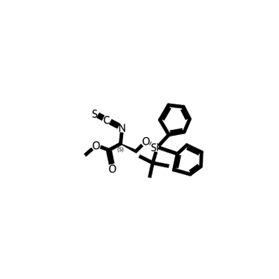 COC(=O)[C@H](CO[Si](c1ccccc1)(c1ccccc1)C(C)(C)C)N=C=S